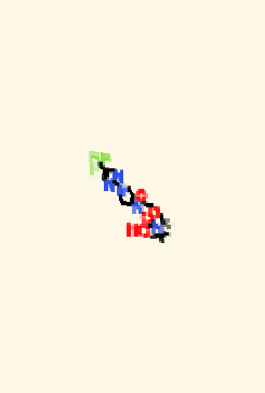 C[C@@H](COCc1nc2c(o1)CN(c1ncc(C(F)(F)F)cn1)CC2)N(C(=O)O)C(C)(C)C